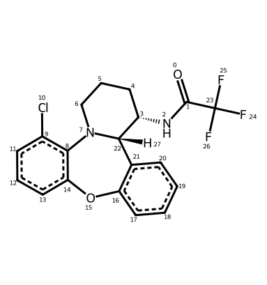 O=C(N[C@H]1CCCN2c3c(Cl)cccc3Oc3ccccc3[C@@H]12)C(F)(F)F